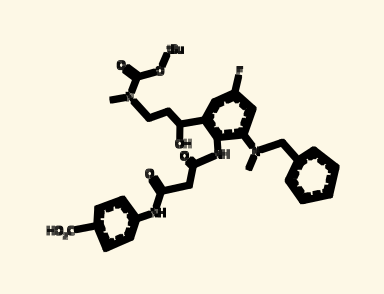 CN(CCC(O)c1cc(F)cc(N(C)Cc2ccccc2)c1NC(=O)CC(=O)Nc1ccc(C(=O)O)cc1)C(=O)OC(C)(C)C